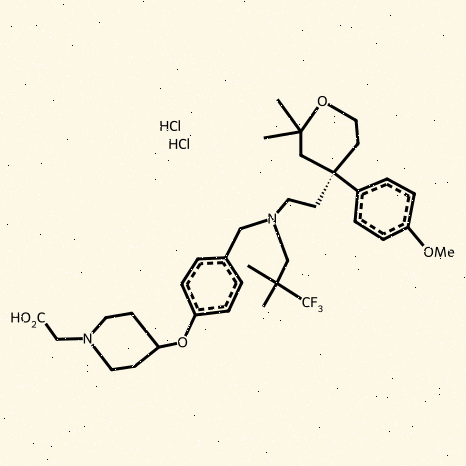 COc1ccc([C@]2(CCN(Cc3ccc(OC4CCN(CC(=O)O)CC4)cc3)CC(C)(C)C(F)(F)F)CCOC(C)(C)C2)cc1.Cl.Cl